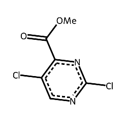 COC(=O)c1nc(Cl)ncc1Cl